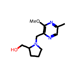 COc1nc(C)cnc1CN1CCCC1CO